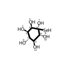 O[C@@H]1[C@@H](O)[C@@H](O)[C@@](O)([SeH])[C@H](O)[C@H]1O